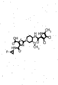 CO[C@H]1CN(c2nc(C(=O)N[C@@H]3C[C@@H]3F)c(C(=O)O)s2)CC[C@H]1NC(=O)c1[nH]c(C)c(Cl)c1Cl